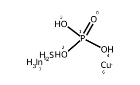 O=P(O)(O)O.S.[Cu].[InH3]